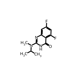 CC(C)N(C)c1nc2cc(F)cc(F)c2c(=O)[nH]1